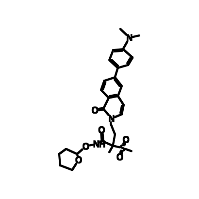 CN(C)c1ccc(-c2ccc3c(=O)n(CCC(C)(C(=O)NOC4CCCCO4)S(C)(=O)=O)ccc3c2)cc1